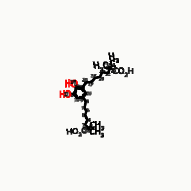 CC(C)(CCCCCCc1cc(O)c(O)c(CCCCCCC(C)(C)C(=O)O)c1)C(=O)O